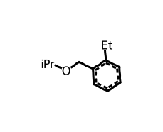 CCc1ccccc1COC(C)C